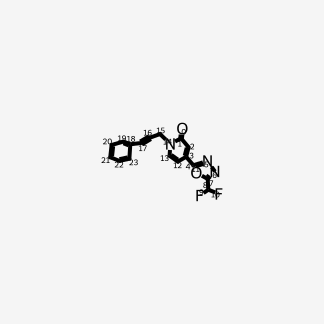 O=c1cc(-c2nnc(C(F)F)o2)ccn1CC#Cc1ccccc1